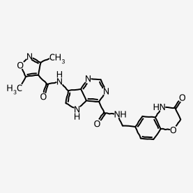 Cc1noc(C)c1C(=O)Nc1c[nH]c2c(C(=O)NCc3ccc4c(c3)NC(=O)CO4)ncnc12